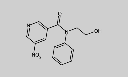 O=C(c1cncc([N+](=O)[O-])c1)N(CCO)c1ccccc1